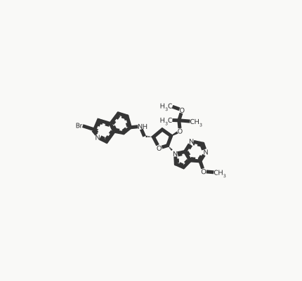 COc1ncnc2c1ccn2[C@@H]1O[C@H](CNc2ccc3cc(Br)ncc3c2)C[C@H]1OC(C)(C)OC